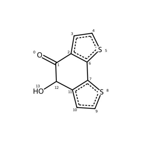 O=C1c2ccsc2-c2sccc2C1O